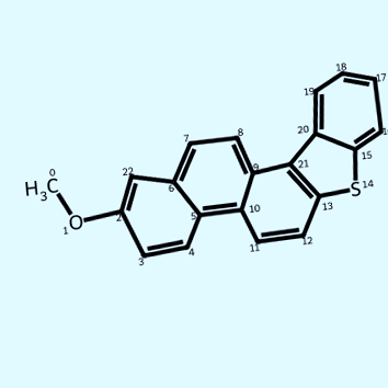 COc1ccc2c(ccc3c2ccc2sc4ccccc4c23)c1